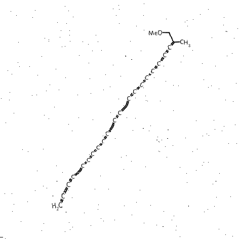 C=C=C=C=C=C=C=C=C=C=C=C=C=C=C=C=C=C=C=C=C=C=C=C(C)COC